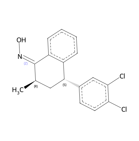 C[C@@H]1C[C@@H](c2ccc(Cl)c(Cl)c2)c2ccccc2/C1=N\O